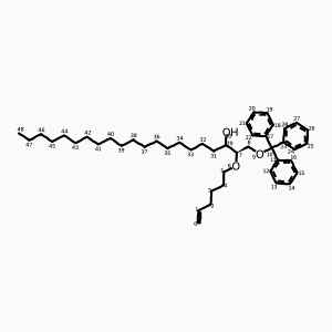 C=CCCCCO[C@H](COC(c1ccccc1)(c1ccccc1)c1ccccc1)C(O)CCCCCCCCCCCCCCCCCC